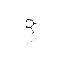 CC(C)(C)[S@+]([O-])/N=C/c1cnccc1Br